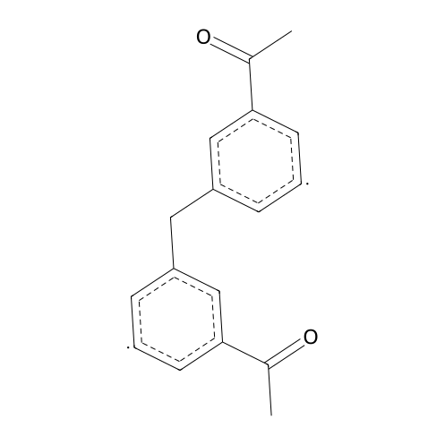 CC(=O)c1c[c]cc(Cc2c[c]cc(C(C)=O)c2)c1